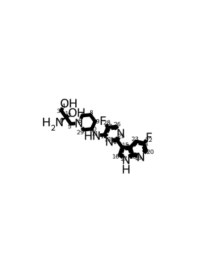 N[C@](O)(CO)CN1CCC[C@H](Nc2nc(-c3c[nH]c4ncc(F)cc34)ncc2F)C1